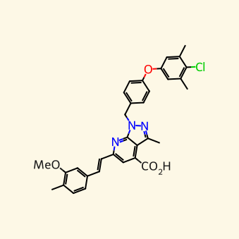 COc1cc(/C=C/c2cc(C(=O)O)c3c(C)nn(Cc4ccc(Oc5cc(C)c(Cl)c(C)c5)cc4)c3n2)ccc1C